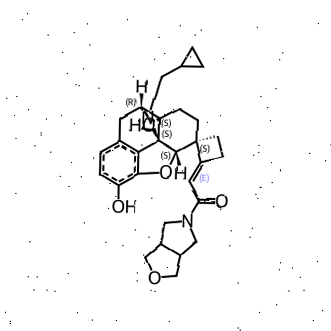 O=C(/C=C1\CC[C@]12CC[C@@]1(O)[C@H]3Cc4ccc(O)c5c4[C@@]1(CCN3CC1CC1)[C@H]2O5)N1CC2COCC2C1